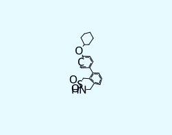 O=S1(=O)Cc2c(cccc2-c2ccc(OC3CCCCC3)cc2)CN1